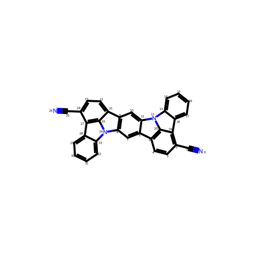 N#Cc1ccc2c3cc4c(cc3n3c5ccccc5c1c23)c1ccc(C#N)c2c3ccccc3n4c12